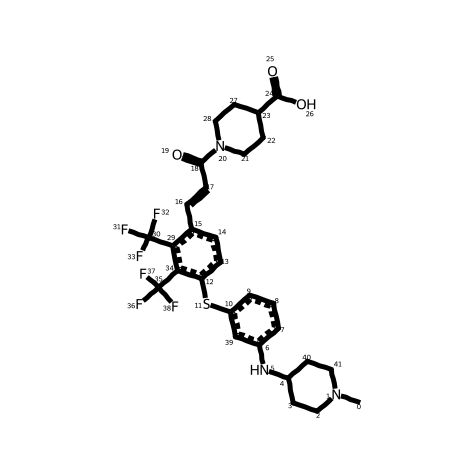 CN1CCC(Nc2cccc(Sc3ccc(C=CC(=O)N4CCC(C(=O)O)CC4)c(C(F)(F)F)c3C(F)(F)F)c2)CC1